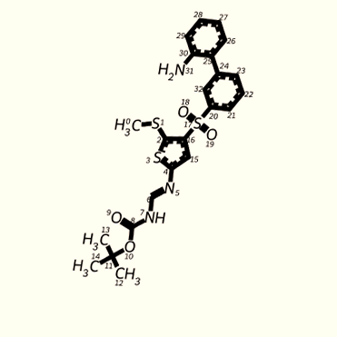 CSc1sc(/N=C/NC(=O)OC(C)(C)C)cc1S(=O)(=O)c1cccc(-c2ccccc2N)c1